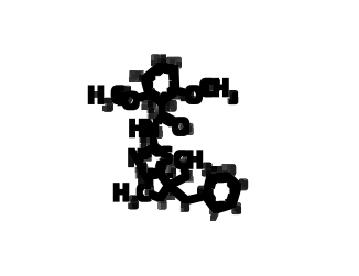 CCC(CC)(Cc1ccccc1)c1nnc(NC(=O)c2c(OC)cccc2OC)s1